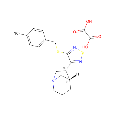 N#Cc1ccc(CSc2nsnc2[C@H]2CN3CCC[C@@H]2C3)cc1.O=C(O)C(=O)O